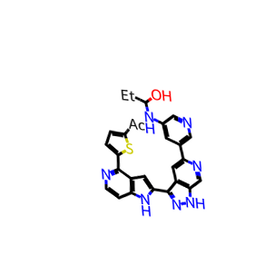 CCC(O)Nc1cncc(-c2cc3c(-c4cc5c(-c6ccc(C(C)=O)s6)nccc5[nH]4)n[nH]c3cn2)c1